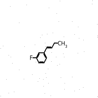 CC/C=C/c1cccc(F)c1